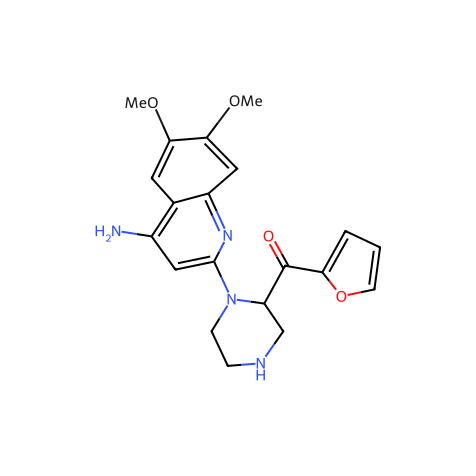 COc1cc2nc(N3CCNCC3C(=O)c3ccco3)cc(N)c2cc1OC